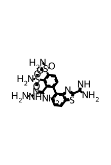 N=C(N)c1nc2c(-c3ccc(S(N)(=O)=O)c(S(N)(=O)=O)c3/C(N)=N/NN)cccc2s1